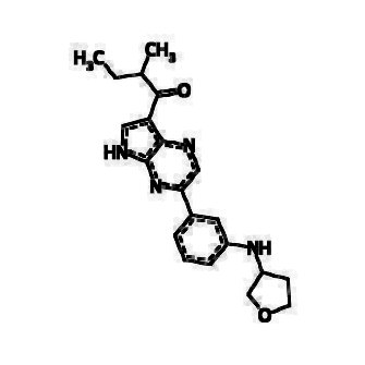 CCC(C)C(=O)c1c[nH]c2nc(-c3cccc(NC4CCOC4)c3)cnc12